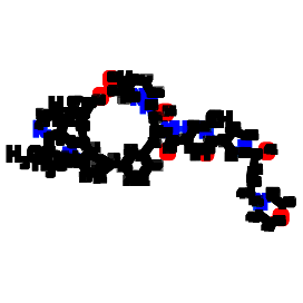 CO[C@@H](C)c1ncccc1-c1c2c3cc(ccc3n1C)-c1cccc(c1)C[C@H](NC(=O)C(CN(C)C(=O)[C@H]1CCN(C(=O)C#CCN3CCOCC3)C1)C(C)C)C(=O)N1CCC[C@H](N1)C(=O)OCC(C)(C)C2